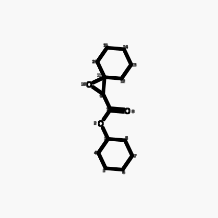 O=C(OC1CCCCC1)C1OC12CCCCC2